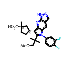 COCC(C)(C)c1c([C@@H]2CC[C@@](C)(C(=O)O)C2)c2nc3[nH]ncc3cc2n1-c1ccc(F)c(F)c1